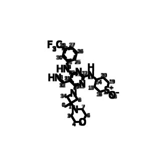 CC1(N2CCOCC2)CN(c2nc(NC3CC[S+]([O-])CC3)nc(Nc3cccc(C(F)(F)F)c3)c2C=N)C1